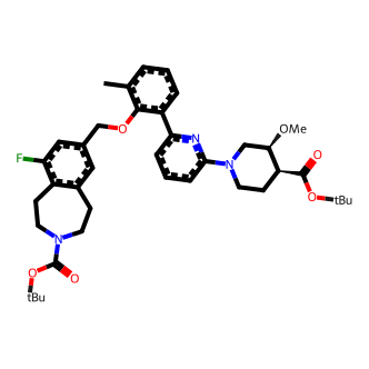 CO[C@@H]1CN(c2cccc(-c3cccc(C)c3OCc3cc(F)c4c(c3)CCN(C(=O)OC(C)(C)C)CC4)n2)CC[C@@H]1C(=O)OC(C)(C)C